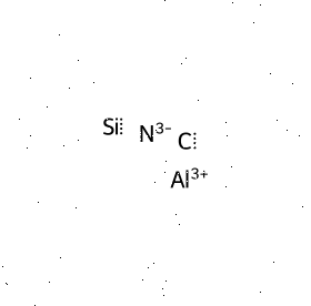 [Al+3].[C].[N-3].[Si]